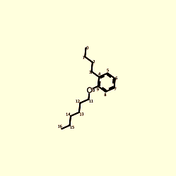 CCC[CH]c1ccccc1OCCCCCC